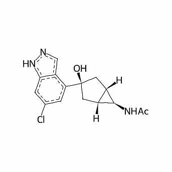 CC(=O)N[C@H]1[C@@H]2C[C@](O)(c3cc(Cl)cc4[nH]ncc34)C[C@@H]21